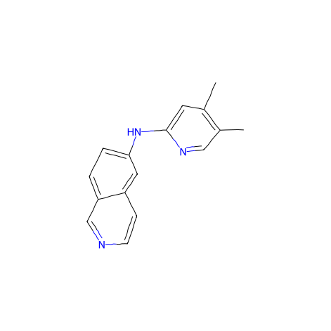 Cc1cnc(Nc2ccc3cnccc3c2)cc1C